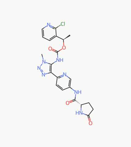 C[C@@H](OC(=O)Nc1c(-c2ccc(NC(=O)[C@@H]3CCC(=O)N3)cn2)nnn1C)c1cccnc1Cl